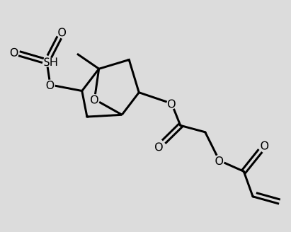 C=CC(=O)OCC(=O)OC1CC2(C)OC1CC2O[SH](=O)=O